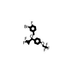 Fc1ccc(COC(c2ccc(OCC(F)(F)F)cc2)C2CC2(F)F)cc1Br